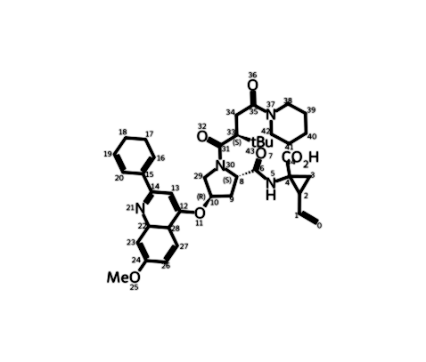 C=CC1CC1(NC(=O)[C@@H]1C[C@@H](OC2=CC(C3=CCCC=C3)=NC3C=C(OC)C=CC23)CN1C(=O)[C@@H](CC(=O)N1CCCCC1)C(C)(C)C)C(=O)O